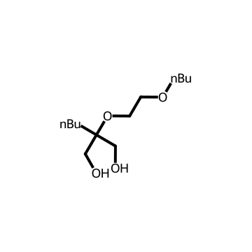 CCCCOCCOC(CO)(CO)CCCC